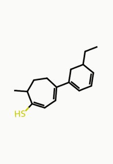 CCC1C=CC=C(C2=CC=C(S)C(C)CC2)C1